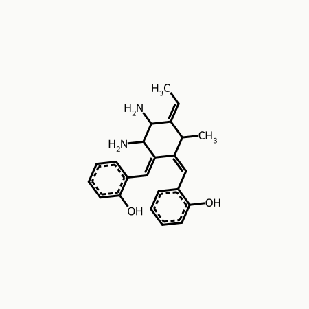 CC=C1C(C)C(=Cc2ccccc2O)C(=Cc2ccccc2O)C(N)C1N